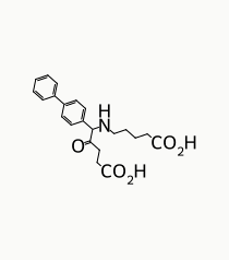 O=C(O)CCCCNC(C(=O)CCC(=O)O)c1ccc(-c2ccccc2)cc1